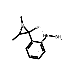 BBc1ccccc1C1(C(C)C)B(C)C1C